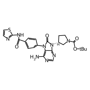 CC(C)(C)OC(=O)N1CC[C@@H](n2c(=O)n(-c3ccc(C(=O)Nc4nccs4)cc3)c3c(N)ncnc32)C1